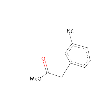 [C-]#[N+]c1cccc(CC(=O)OC)c1